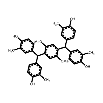 COc1cc(C(c2ccc(O)c(C)c2)c2ccc(O)c(C)c2)c(OC)cc1C(c1ccc(O)c(C)c1)c1ccc(O)c(C)c1